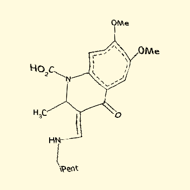 CCCC(C)NC=C1C(=O)c2cc(OC)c(OC)cc2N(C(=O)O)C1C